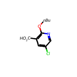 CCCCOc1ncc(Cl)cc1C(=O)O